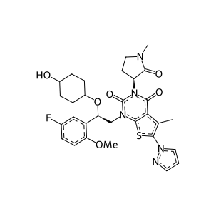 COc1ccc(F)cc1[C@H](Cn1c(=O)n([C@H]2CCN(C)C2=O)c(=O)c2c(C)c(-n3cccn3)sc21)OC1CCC(O)CC1